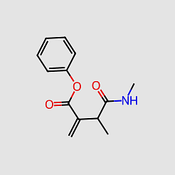 C=C(C(=O)Oc1ccccc1)C(C)C(=O)NC